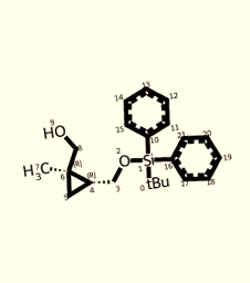 CC(C)(C)[Si](OC[C@@H]1C[C@@]1(C)CO)(c1ccccc1)c1ccccc1